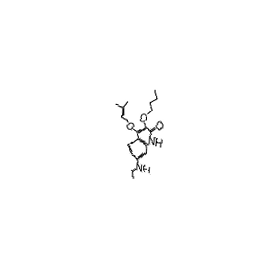 CCCCOc1c(OCC=C(C)C)c2ccc(NCC)cc2[nH]c1=O